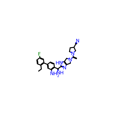 C=C(N1Cc2nc(C(=N)c3ccc(-c4cc(F)ccc4CC)cc3N)[nH]c2C1)N1CCC(C#N)C1